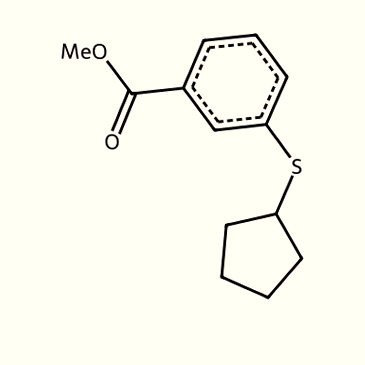 COC(=O)c1cccc(SC2CCCC2)c1